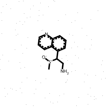 C[S+]([O-])C(CN)c1cccc2ncccc12